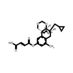 Cc1cc(OC(=O)/C=C/C(=O)O)cc2c1C[C@@H]1[C@@H]3OCOC[C@]23CCN1CC1CC1